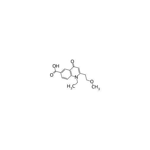 CCn1c(CCOC)cc(=O)c2cc(C(=O)O)ccc21